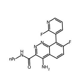 CCCNC(=O)c1nnc2c(-c3cccnc3F)c(F)ccc2c1N